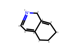 C1=[N+]CC2=CCCCC2=C1